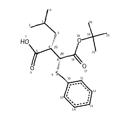 CC(C)C[C@@H](C(=O)O)[C@@H](Sc1ccccc1)C(=O)OC(C)(C)C